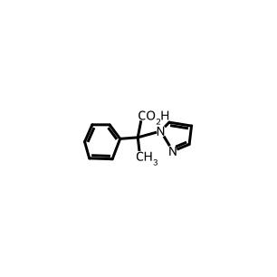 CC(C(=O)O)(c1ccccc1)n1cccn1